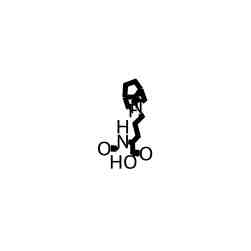 O=CNC(CCCN1CC2CCC(C1)C2(F)F)C(=O)O